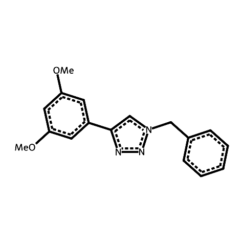 COc1cc(OC)cc(-c2cn(Cc3ccccc3)nn2)c1